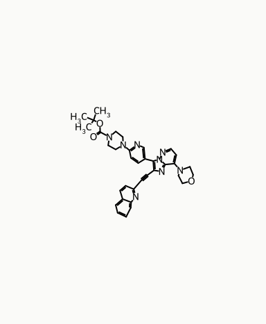 CC(C)(C)OC(=O)N1CCN(c2ccc(-c3c(C#Cc4ccc5ccccc5n4)nc4c(N5CCOCC5)ccnn34)cn2)CC1